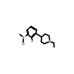 CCN1CCC(c2cccc([S+](C)[O-])c2F)CC1